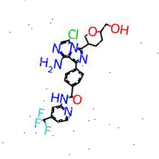 Nc1ncc(Cl)n2c(C3CCC(CO)OC3)nc(-c3ccc(C(=O)Nc4cc(C(F)(F)F)ccn4)cc3)c12